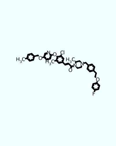 Cc1ccc(COc2ccc(Oc3c(C)cc(/C=C/C(=O)N4CCN(Cc5ccc(CCOc6ccc(F)cc6)cc5)C[C@@H]4C)cc3Cl)nc2)cc1